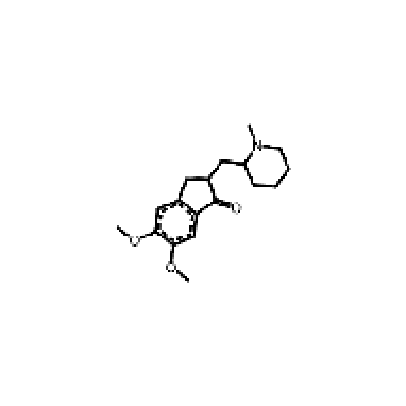 COc1cc2c(cc1OC)C(=O)C(CC1CCCCN1C)C2